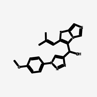 COc1ccc(-n2cc(C(O)c3c(C=C(C)C)sc4cncn34)nn2)cc1